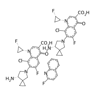 Fc1ccc2ccccc2n1.N[C@@H]1CN(c2c(F)cc3c(=O)c(C(=O)O)cn([C@@H]4C[C@@H]4F)c3c2Cl)CC12CC2.N[C@@H]1CN(c2c(F)cc3c(=O)c(C(=O)O)cn([C@@H]4C[C@@H]4F)c3c2Cl)CC12CC2